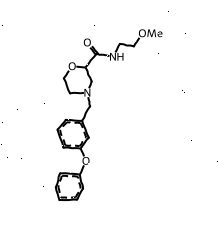 COCCNC(=O)C1CN(Cc2cccc(Oc3ccccc3)c2)CCO1